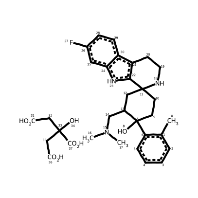 Cc1ccccc1C1(O)CCC2(CC1CN(C)C)NCCc1c2[nH]c2cc(F)ccc12.O=C(O)CC(O)(CC(=O)O)C(=O)O